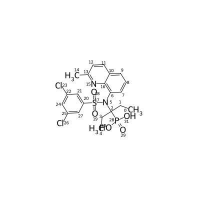 CCC(CC)(N(c1cccc2ccc(C)nc12)S(=O)(=O)c1cc(Cl)cc(Cl)c1)P(=O)(O)O